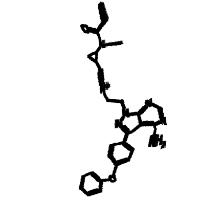 C=CC(=O)N(C)C1CC1C#[N+]CCn1nc(-c2ccc(Oc3ccccc3)cc2)c2c(N)ncnc21